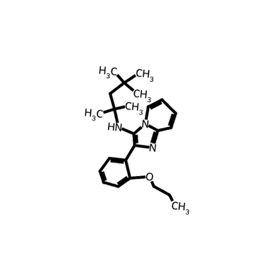 CCCOc1ccccc1-c1nc2ccccn2c1NC(C)(C)CC(C)(C)C